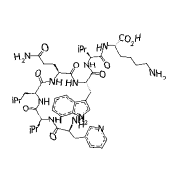 CC(C)C[C@H](NC(=O)[C@@H](NC(=O)[C@@H](N)Cc1cccnc1)C(C)C)C(=O)N[C@@H](CCC(N)=O)C(=O)N[C@@H](Cc1c[nH]c2ccccc12)C(=O)N[C@H](C(=O)N[C@@H](CCCCN)C(=O)O)C(C)C